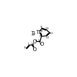 C=CC(=O)OC(=O)[C]1=[Tl][CH]=CC=C1.[Ti]